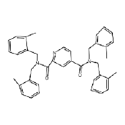 Cc1ccccc1CN(Cc1ccccc1C)C(=O)c1ccnc(C(=O)N(Cc2ccccc2C)Cc2ccccc2C)c1